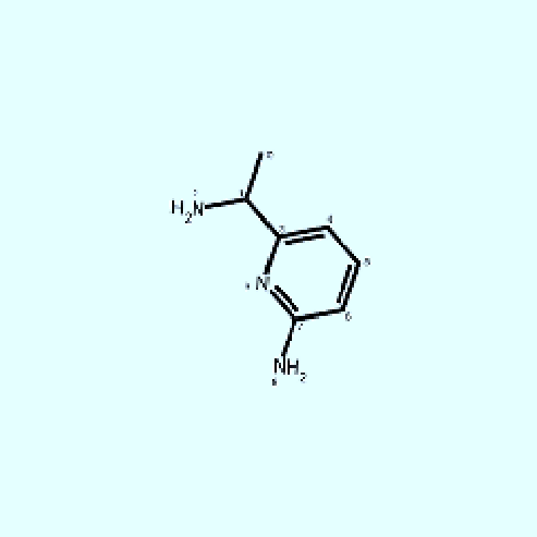 CC(N)c1cccc(N)n1